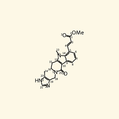 COC(=O)C=Cc1cccc2c3c(n(C)c12)CCN(Cc1nc[nH]c1C)C3=O